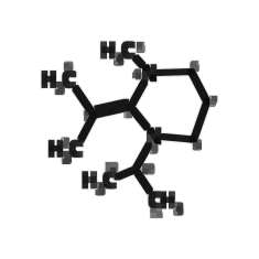 CC(C)=C1N(C)CCCN1C(C)C